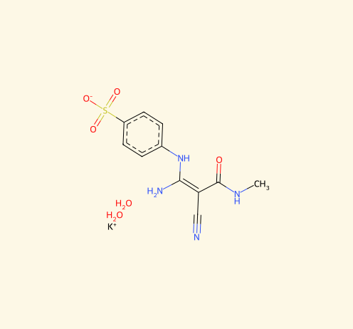 CNC(=O)C(C#N)=C(N)Nc1ccc(S(=O)(=O)[O-])cc1.O.O.[K+]